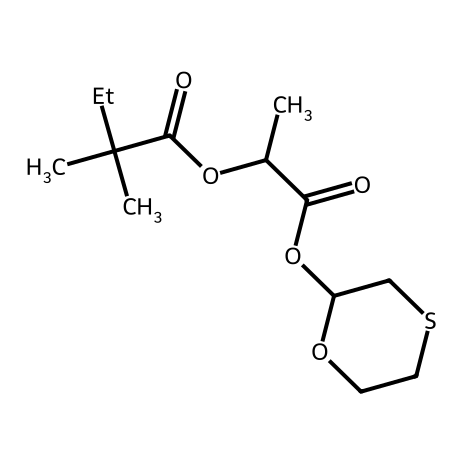 CCC(C)(C)C(=O)OC(C)C(=O)OC1CSCCO1